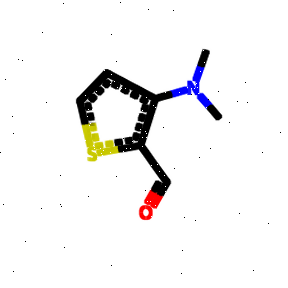 CN(C)c1ccsc1C=O